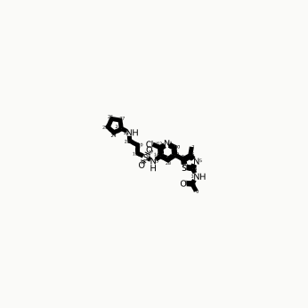 CC(=O)Nc1nc(C)c(-c2cnc(Cl)c(NS(=O)(=O)CCCNC3CCCC3)c2)s1